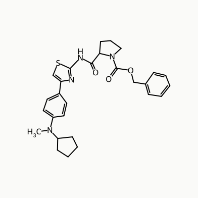 CN(c1ccc(-c2csc(NC(=O)C3CCCN3C(=O)OCc3ccccc3)n2)cc1)C1CCCC1